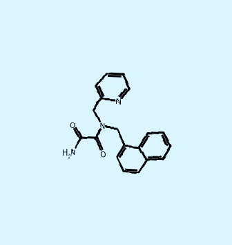 NC(=O)C(=O)N(Cc1ccccn1)Cc1cccc2ccccc12